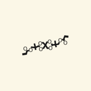 C=CC(=O)OCC(C)(C)C1OCC2(CO1)COC(C(C)(C)COC(=O)C=C)OC2